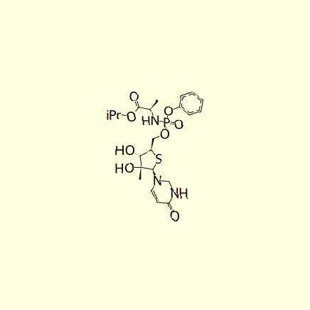 CC(C)OC(=O)[C@@H](C)NP(=O)(OC[C@H]1S[C@@H](N2C=CC(=O)NC2)[C@](C)(O)[C@@H]1O)Oc1ccccc1